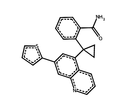 NC(=O)c1ccccc1C1(c2cc(-c3cccs3)cc3ncccc23)CC1